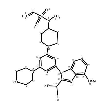 C=CS(=O)(=O)N(C)C1CCN(c2nc(N3CCOCC3)nc(-n3c(C(F)F)nc4c(OC)cccc43)n2)CC1